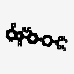 Cc1cc(N2CCC(N(C)C)CC2)ccc1-c1cc2c(Cl)ccnc2[nH]1